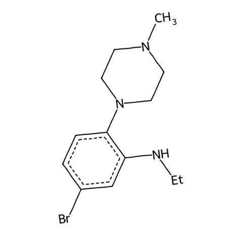 CCNc1cc(Br)ccc1N1CCN(C)CC1